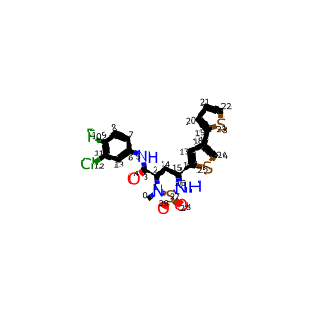 CN1[C@@H](C(=O)Nc2ccc(F)c(Cl)c2)C[C@@H](c2cc(-c3cccs3)cs2)NS1(=O)=O